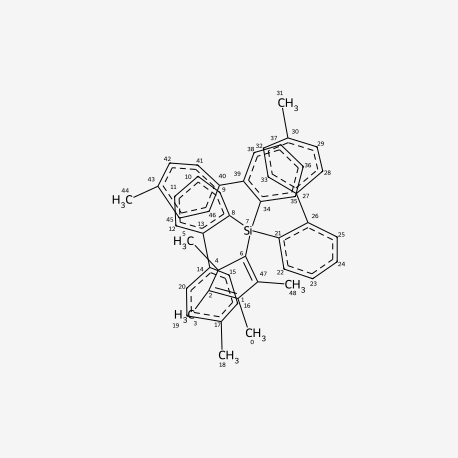 CC1=C(C)C(C)C([Si](c2ccccc2-c2ccc(C)cc2)(c2ccccc2-c2ccc(C)cc2)c2ccccc2-c2ccc(C)cc2)=C1C